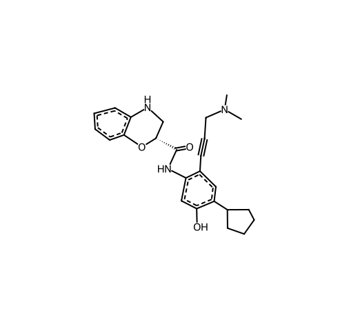 CN(C)CC#Cc1cc(C2CCCC2)c(O)cc1NC(=O)[C@H]1CNc2ccccc2O1